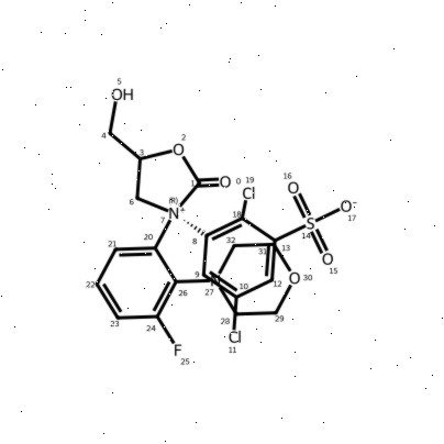 O=C1OC(CO)C[N@+]1(c1cc(Cl)cc(S(=O)(=O)[O-])c1Cl)c1cccc(F)c1N1CCOCC1